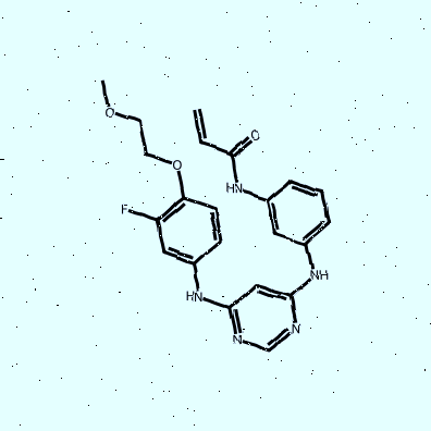 C=CC(=O)Nc1cccc(Nc2cc(Nc3ccc(OCCOC)c(F)c3)ncn2)c1